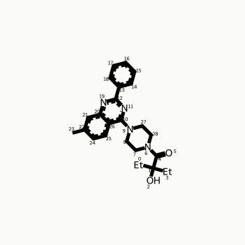 CCC(O)(CC)C(=O)N1CCN(c2nc(-c3ccccc3)nc3cc(C)ccc23)CC1